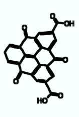 O=C(O)c1cc2c(=O)c3c4c(c(=O)c5cc(C(=O)O)cc6c(=O)c(c1)c2c4c56)=CCC=3